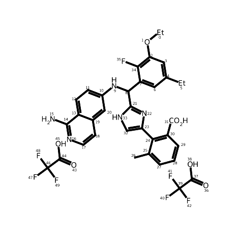 CCOc1cc(CC)cc(C(Nc2ccc3c(N)nccc3c2)c2nc(-c3c(C)cccc3C(=O)O)c[nH]2)c1F.O=C(O)C(F)(F)F.O=C(O)C(F)(F)F